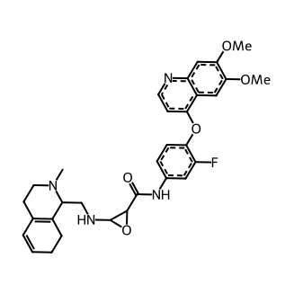 COc1cc2nccc(Oc3ccc(NC(=O)C4OC4NCC4C5=C(C=CCC5)CCN4C)cc3F)c2cc1OC